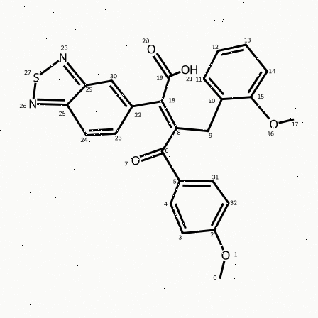 COc1ccc(C(=O)/C(Cc2ccccc2OC)=C(/C(=O)O)c2ccc3nsnc3c2)cc1